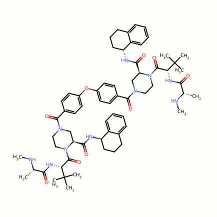 CN[C@@H](C)C(=O)N[C@H](C(=O)N1CCN(C(=O)c2ccc(Oc3ccc(C(=O)N4CCN(C(=O)[C@@H](NC(=O)[C@H](C)NC)C(C)(C)C)[C@H](C(=O)N[C@@H]5CCCc6ccccc65)C4)cc3)cc2)C[C@H]1C(=O)N[C@@H]1CCCc2ccccc21)C(C)(C)C